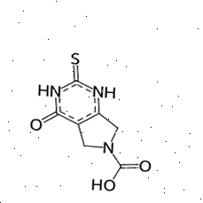 O=C(O)N1Cc2[nH]c(=S)[nH]c(=O)c2C1